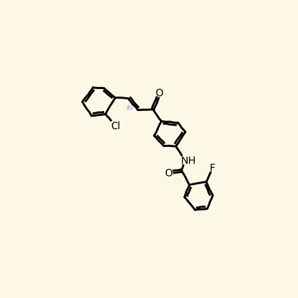 O=C(/C=C/c1ccccc1Cl)c1ccc(NC(=O)c2ccccc2F)cc1